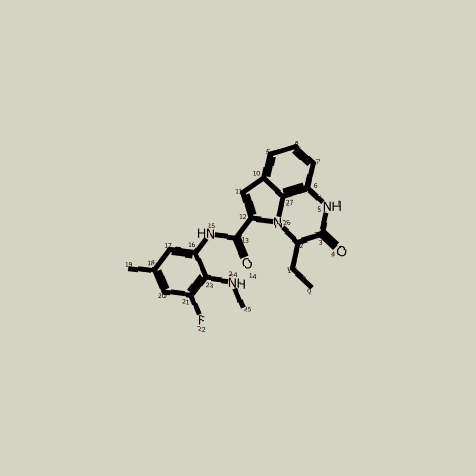 CCC1C(=O)Nc2cccc3cc(C(=O)Nc4cc(C)cc(F)c4NC)n1c23